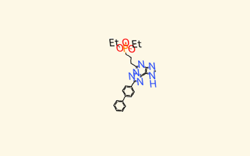 CCOP(=O)(CCCc1nc2nc[nH]c2c2nc(-c3ccc(-c4ccccc4)cc3)nn12)OCC